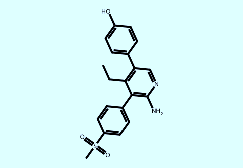 CCc1c(-c2ccc(O)cc2)cnc(N)c1-c1ccc(S(C)(=O)=O)cc1